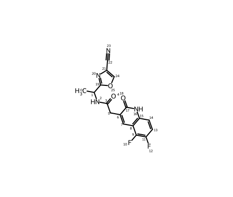 CC(NC(=O)Cc1cc2c(F)c(F)ccc2[nH]c1=O)c1nc(C#N)co1